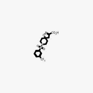 O=C(O)C1=NOC2(CCN(S(=O)(=O)c3cccc(C(F)(F)F)c3)CC2)C1